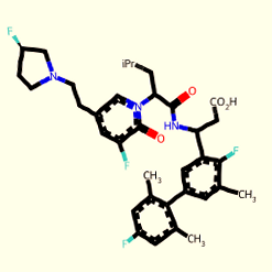 Cc1cc(-c2c(C)cc(F)cc2C)cc(C(CC(=O)O)NC(=O)C(CC(C)C)n2cc(CCN3CC[C@@H](F)C3)cc(F)c2=O)c1F